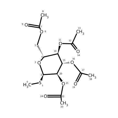 CS[C@H]1O[C@H](COC(C)=O)[C@@H](OC(C)=O)[C@H](OC(C)=O)[C@H]1OC(C)=O